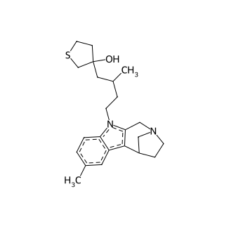 Cc1ccc2c(c1)c1c(n2CCC(C)CC2(O)CCSC2)CN2CCC1C2